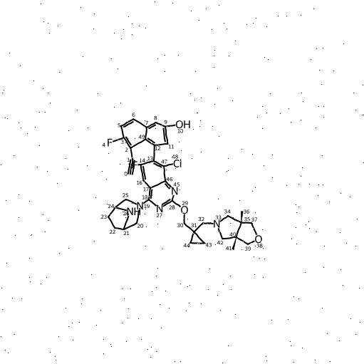 C#Cc1c(F)ccc2cc(O)cc(-c3c(F)cc4c(N5CC6CCC(C5)N6)nc(OCC5(CN6C[C@]7(C)COC[C@]7(C)C6)CC5)nc4c3Cl)c12